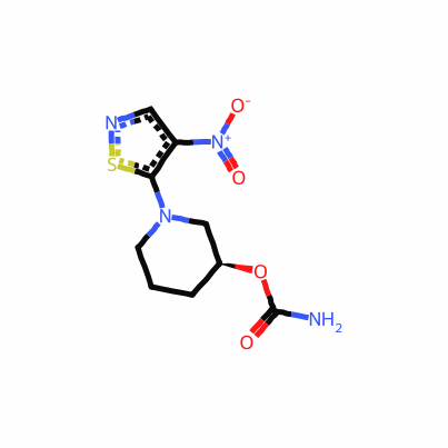 NC(=O)O[C@H]1CCCN(c2sncc2[N+](=O)[O-])C1